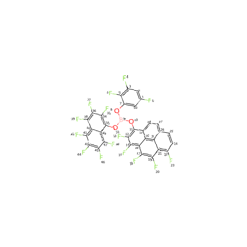 Fc1cc(F)c(F)c(OB(Oc2c(F)c(F)c3c(F)c(F)c4c(F)ccc5ccc2c3c54)Oc2c(F)c(F)c(F)c3c(F)c(F)c(F)c(F)c23)c1